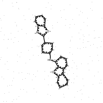 c1ccc2oc(-c3ccc(Nc4cccc5c4oc4ccccc45)cc3)nc2c1